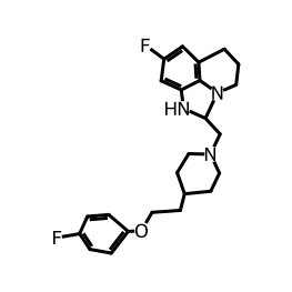 Fc1ccc(OCCC2CCN(CC3Nc4cc(F)cc5c4N3CCC5)CC2)cc1